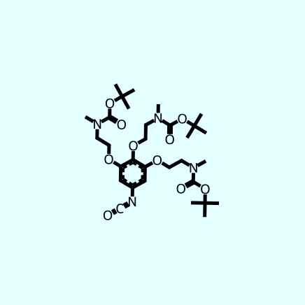 CN(CCOc1cc(N=C=O)cc(OCCN(C)C(=O)OC(C)(C)C)c1OCCN(C)C(=O)OC(C)(C)C)C(=O)OC(C)(C)C